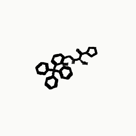 CC(C)(C)[C@H](NCc1cccc([Si](c2ccccc2)(c2ccccc2)c2ccccc2)c1O)C(=O)N1CCCC1